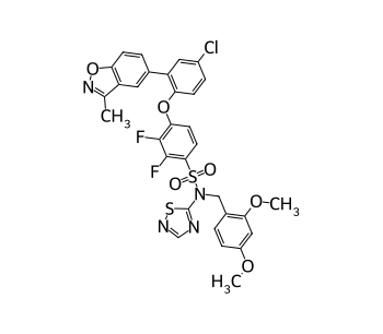 COc1ccc(CN(c2ncns2)S(=O)(=O)c2ccc(Oc3ccc(Cl)cc3-c3ccc4onc(C)c4c3)c(F)c2F)c(OC)c1